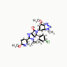 COc1ccc(-c2nc3c(n2C(C)C)[C@H](c2ccc(Cl)cc2)N(c2cc(OC)c4nnn(C)c4c2)C3=O)cn1